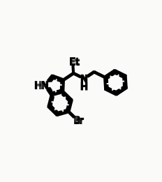 CCC(NCc1ccccc1)c1c[nH]c2ccc(Br)cc12